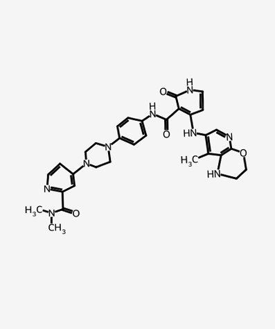 Cc1c(Nc2cc[nH]c(=O)c2C(=O)Nc2ccc(N3CCN(c4ccnc(C(=O)N(C)C)c4)CC3)cc2)cnc2c1NCCO2